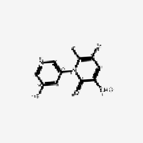 Cc1c(Br)cc(C=O)c(=O)n1-c1cncc(F)c1